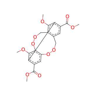 COC(=O)c1cc2c3c(OC)c1-c1c(C(=O)OC)cc(c(c1OC)OOC3)OOC2